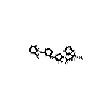 Cc1cc(Oc2cccc(COc3ccccc3C#N)c2)ccc1N1C(=O)Nc2c(N)sc3nccc1c23